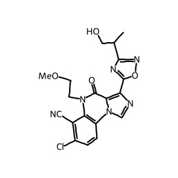 COCCn1c(=O)c2c(-c3nc(C(C)CO)no3)ncn2c2ccc(Cl)c(C#N)c21